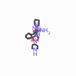 Nc1nnc(-c2ccccc2O)cc1N1CC2CCC(C1)N2c1ncc(C2CCN(C3CCNCC3)CC2)cn1